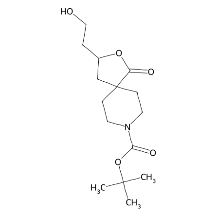 CC(C)(C)OC(=O)N1CCC2(CC1)CC(CCO)OC2=O